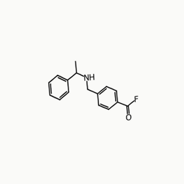 CC(NCc1ccc(C(=O)F)cc1)c1ccccc1